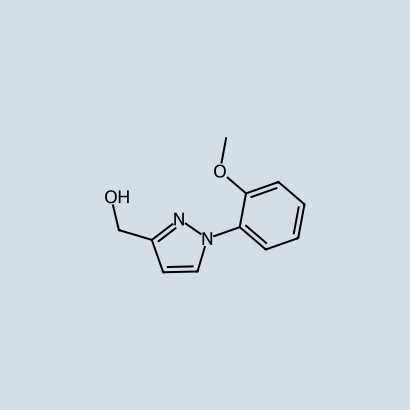 COc1ccccc1-n1ccc(CO)n1